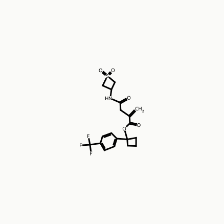 C=C(CC(=O)NC1CS(=O)(=O)C1)C(=O)OC1(c2ccc(C(F)(F)F)cc2)CCC1